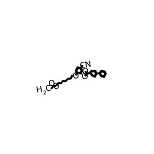 C=CC(=O)OCCCCCCCOc1ccc(C#N)c(OC(=O)c2ccc(-c3ccccc3)cc2)c1